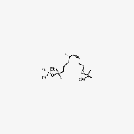 CC[Si](CC)(CC)OC(C)(C)CCC[C@H](C)/C=C\CCO[Si](C)(C)C(C)(C)C